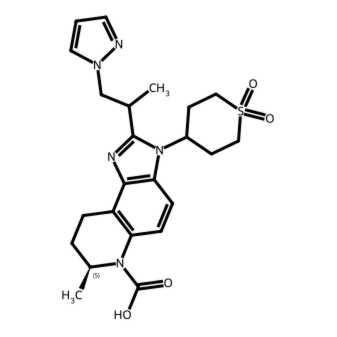 CC(Cn1cccn1)c1nc2c3c(ccc2n1C1CCS(=O)(=O)CC1)N(C(=O)O)[C@@H](C)CC3